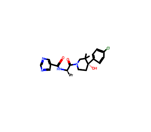 CC(C)[C@@H](NC(=O)c1cncnc1)C(=O)N1CC[C@](O)(c2ccc(Cl)cc2)C(C)(C)C1